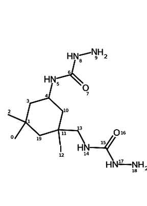 CC1(C)CC(NC(=O)NN)CC(I)(CNC(=O)NN)C1